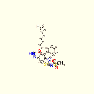 CCCCCCCCOc1cc2c(cc1N=N)s/c(=N/S(C)(=O)=O)n2Cc1ccccc1